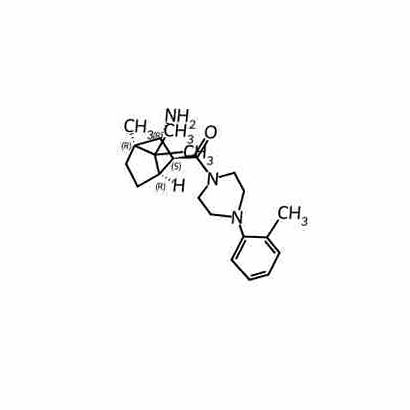 Cc1ccccc1N1CCN(C(=O)[C@H]2[C@H]3CC[C@@](C)([C@@H]2N)C3(C)C)CC1